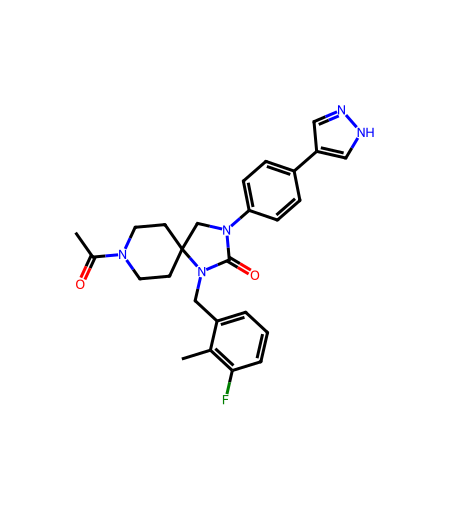 CC(=O)N1CCC2(CC1)CN(c1ccc(-c3cn[nH]c3)cc1)C(=O)N2Cc1cccc(F)c1C